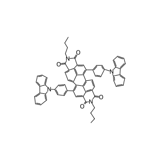 CCCCN1C(=O)c2ccc3c4c(-c5ccc(-n6c7ccccc7c7ccccc76)cc5)cc5c6c(ccc(c7c(-c8ccc(-n9c%10ccccc%10c%10ccccc%109)cc8)cc(c2c37)C1=O)c64)C(=O)N(CCCC)C5=O